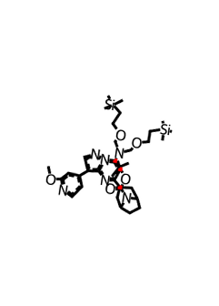 COc1cc(-c2cnn3c(N(COCC[Si](C)(C)C)COCC[Si](C)(C)C)cc(C4CC5CCC(C4)N5C(=O)OC(C)(C)C)nc23)ccn1